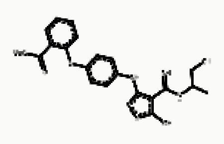 COC(=O)c1ccccc1Oc1ccc(Nc2snc(O)c2C(=N)NC(C)CO)cc1